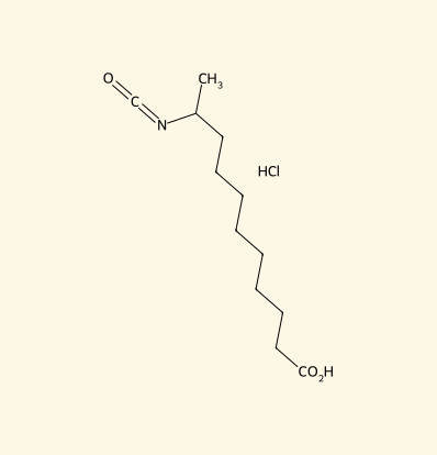 CC(CCCCCCCCC(=O)O)N=C=O.Cl